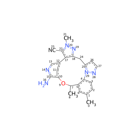 Cc1ccc2c(c1)C(C)Oc1cc(cnc1N)-c1c(nn(C)c1C#N)Cc1ccnn1-2